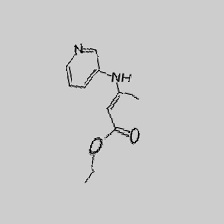 CCOC(=O)C=C(C)Nc1cccnc1